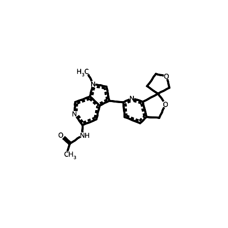 CC(=O)Nc1cc2c(-c3ccc4c(n3)C3(CCOC3)OC4)cn(C)c2cn1